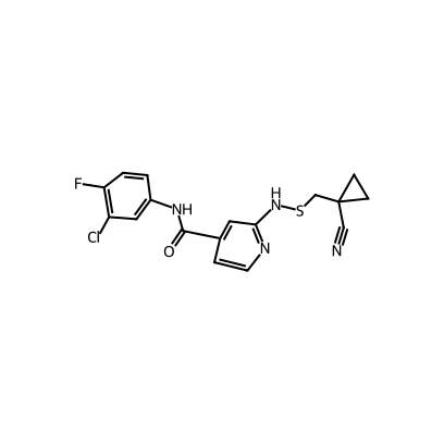 N#CC1(CSNc2cc(C(=O)Nc3ccc(F)c(Cl)c3)ccn2)CC1